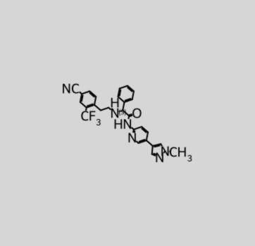 Cn1cc(-c2ccc(NC(=O)[C@@H](NCCc3ccc(C#N)cc3C(F)(F)F)c3ccccc3)nc2)cn1